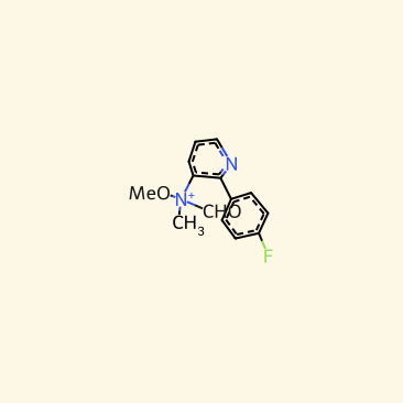 CO[N+](C)(C=O)c1cccnc1-c1ccc(F)cc1